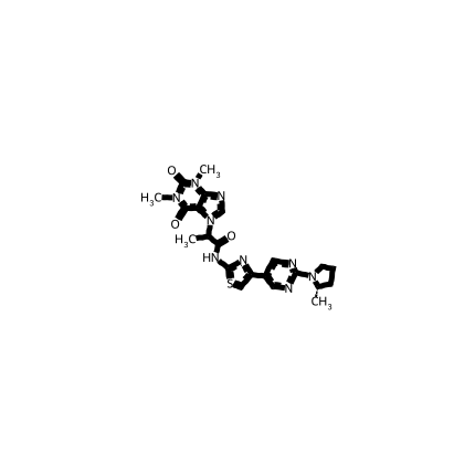 CC(C(=O)Nc1nc(-c2cnc(N3CCC[C@@H]3C)nc2)cs1)n1cnc2c1c(=O)n(C)c(=O)n2C